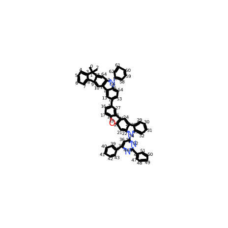 CC1(C)c2ccccc2-c2cc3c4cc(-c5ccc6oc7cc8c(cc7c6c5)c5ccccc5n8-c5cc(-c6ccccc6)nc(-c6ccccc6)n5)ccc4n(-c4ccccc4)c3cc21